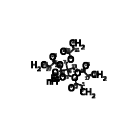 C=CC(=O)OCC(COC(=O)C=C)(COC(=O)C=C)C(OCC)(OCCC)OC(=O)C=C